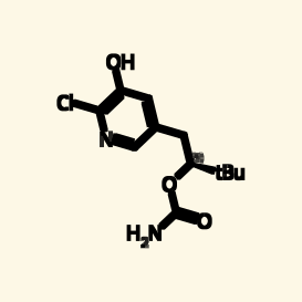 CC(C)(C)[C@H](Cc1cnc(Cl)c(O)c1)OC(N)=O